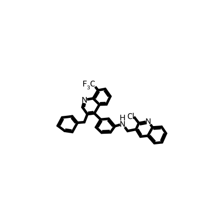 FC(F)(F)c1cccc2c(-c3cccc(NCc4cc5ccccc5nc4Cl)c3)c(Cc3ccccc3)cnc12